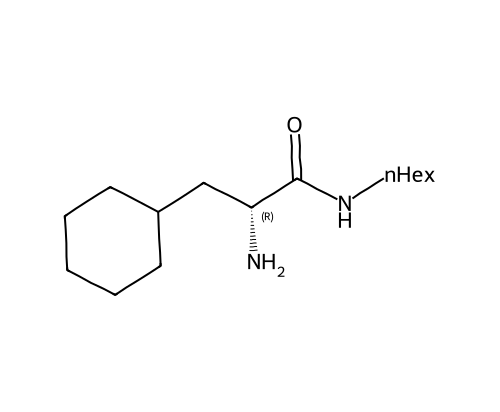 CCCCCCNC(=O)[C@H](N)CC1CCCCC1